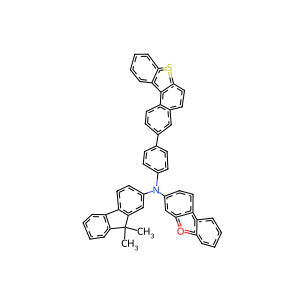 CC1(C)c2ccccc2-c2ccc(N(c3ccc(-c4ccc5c(ccc6sc7ccccc7c65)c4)cc3)c3ccc4c(c3)oc3ccccc34)cc21